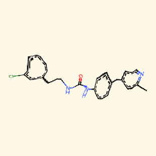 Cc1cc(-c2ccc(NC(=O)NCCc3cccc(Cl)c3)cc2)ccn1